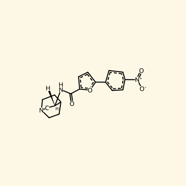 O=C(N[C@H]1CN2CCC1CC2)c1ccc(-c2ccc([N+](=O)[O-])cc2)o1